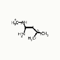 CNC(N)CC(C)C